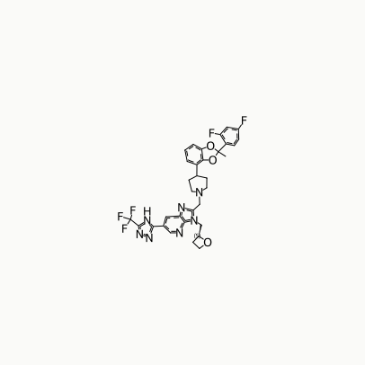 CC1(c2ccc(F)cc2F)Oc2cccc(C3CCN(Cc4nc5cc(-c6nnc(C(F)(F)F)[nH]6)cnc5n4C[C@@H]4CCO4)CC3)c2O1